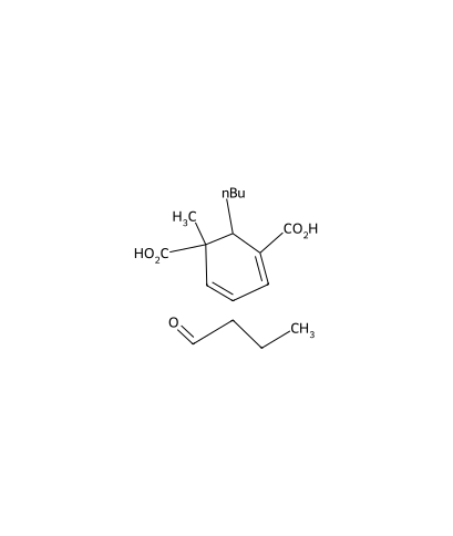 CCCC=O.CCCCC1C(C(=O)O)=CC=CC1(C)C(=O)O